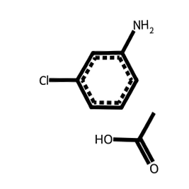 CC(=O)O.Nc1cccc(Cl)c1